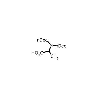 CCCCCCCCCCN(CCCCCCCCCC)C(C)C(=O)O